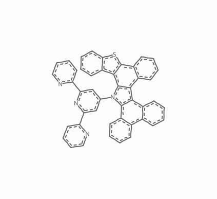 c1ccc(-c2cc(-n3c4c5ccccc5c5ccccc5c4c4c5ccccc5c5sc6ccccc6c5c43)cc(-c3ccccn3)n2)nc1